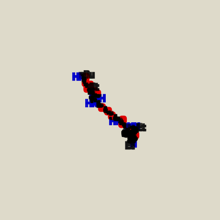 CCCCNC(=O)COCC(=O)OC1CC(N2C=C(C)C(NCCCOCCOCCOCCCNC(=O)OCCN(C)C(=O)c3ccccc3-c3c4cc(C)/c(=N\CC)cc-4oc4cc(NCC)c(C)cc34)NC2=O)OC1CC